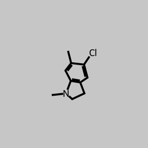 Cc1cc2c(cc1Cl)CCN2C